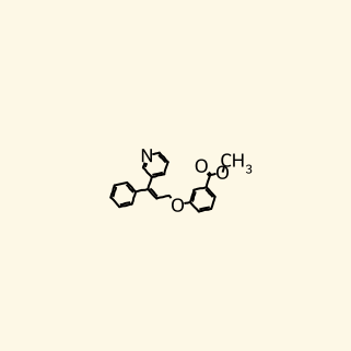 COC(=O)c1cccc(OCC=C(c2ccccc2)c2cccnc2)c1